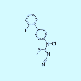 CSC(=NC#N)N(Cl)c1ccc(-c2ccccc2F)cc1